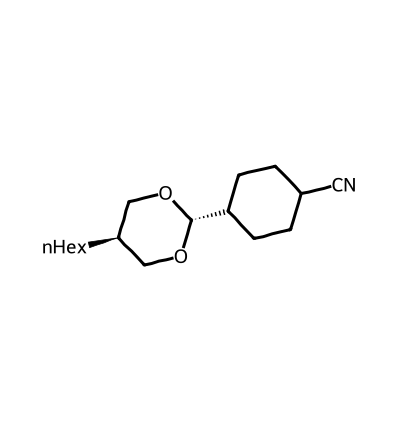 CCCCCC[C@H]1CO[C@H](C2CCC(C#N)CC2)OC1